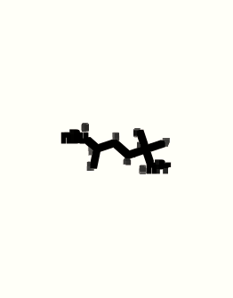 CCCCC(C)C[CH]C(C)(C)CCC